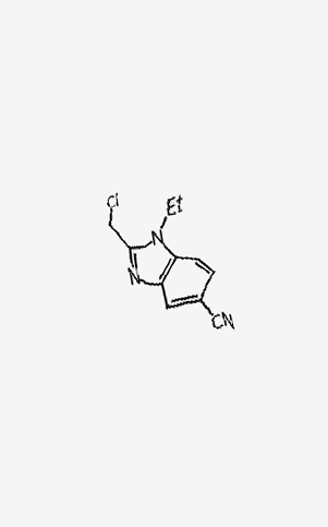 CCn1c(CCl)nc2cc(C#N)ccc21